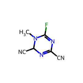 CN1C(F)=NC(C#N)=NC1C#N